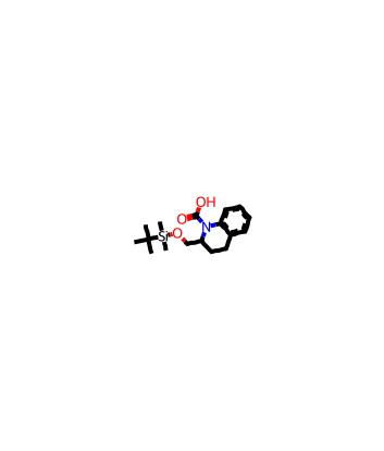 CC(C)(C)[Si](C)(C)OCC1CCc2ccccc2N1C(=O)O